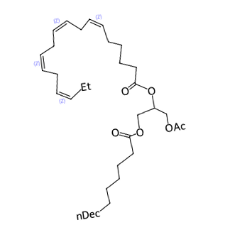 CC/C=C\C/C=C\C/C=C\C/C=C\CCCCC(=O)OC(COC(C)=O)COC(=O)CCCCCCCCCCCCCCC